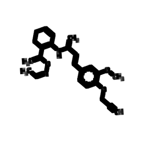 C#CCOc1ccc(/C=C/C(=C)NC2=C(C(=C)O/N=C\C)CCC=C2)cc1OC